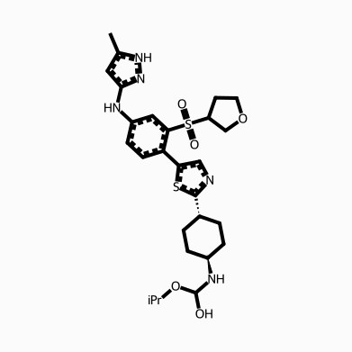 Cc1cc(Nc2ccc(-c3cnc([C@H]4CC[C@H](NC(O)OC(C)C)CC4)s3)c(S(=O)(=O)C3CCOC3)c2)n[nH]1